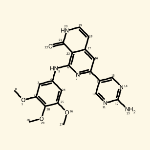 COc1cc(Nc2nc(-c3cnc(N)nc3)cc3cc[nH]c(=O)c23)cc(OC)c1OC